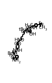 Cc1ncsc1-c1ccc([C@H](C)NC(=O)[C@@H]2C[C@@H](O)CN2C(=O)[C@@H](NC(=O)CCCCC(=O)NCCS(=O)(=O)N2CCC(Nc3ncc(Br)c(Nc4cccc(F)c4C(N)=O)n3)CC2)C(C)(C)C)cc1